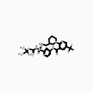 CC(C)(C)OC(=O)NS(=O)(=O)c1cc(NC(=O)c2cc(C(F)(F)F)cnc2N2CCCC(CO)C2)ccn1